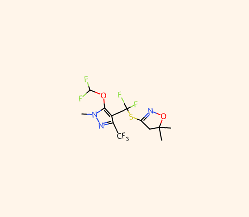 Cn1nc(C(F)(F)F)c(C(F)(F)SC2=NOC(C)(C)C2)c1OC(F)F